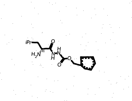 CC(C)C[C@@H](N)C(=O)NNC(=O)OCc1ccccc1